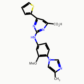 COc1cc(Nc2nc(C(=O)O)cc(-c3cccs3)n2)ccc1-n1cnc(C)c1